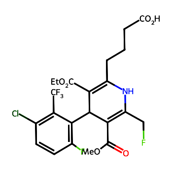 CCOC(=O)C1=C(CCCC(=O)O)NC(CF)=C(C(=O)OC)C1c1c(F)ccc(Cl)c1C(F)(F)F